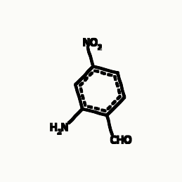 Nc1cc([N+](=O)[O-])ccc1C=O